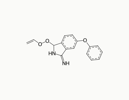 C=COOC1NC(=N)c2cc(Oc3ccccc3)ccc21